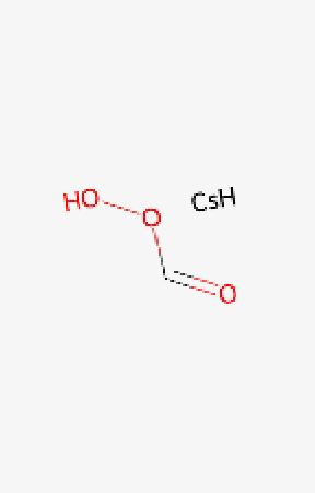 O=COO.[CsH]